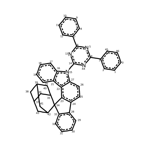 c1ccc(-c2nc(-c3ccccc3)nc(-n3c4ccccc4c4c5c(ccc43)-c3ccccc3C53C4CC5CC(C4)CC3C5)n2)cc1